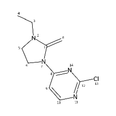 C=C1N(CC)CCN1c1ccnc(Cl)n1